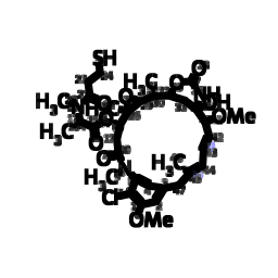 COc1cc2cc(c1Cl)N(C)C(=O)C[C@H](OC(=O)[C@H](C)N(C)C(=O)CCS)C1(C)OC1[C@H](C)C1CC(O)(NC(=O)O1)C(OC)/C=C/C=C(\C)C2